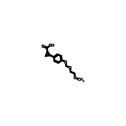 COCCOCOc1ccc(C2CC2C(=O)O)cc1